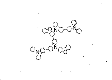 c1ccc(-n2c3ccccc3c3cc(-c4ccc5c(c4)c4cc(-c6cc(-n7c8ccccc8c8cc(-c9ccc%10c(c9)c9ccccc9n%10-c9ccccc9)ccc87)c7oc8ccccc8c7c6)ccc4n5-c4ccc5oc6ccccc6c5c4)ccc32)cc1